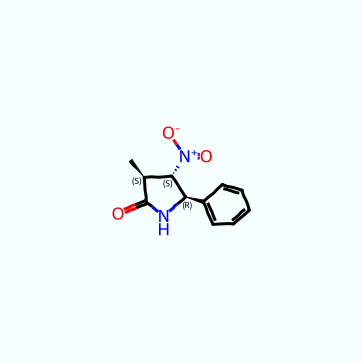 C[C@@H]1C(=O)N[C@H](c2ccccc2)[C@H]1[N+](=O)[O-]